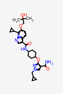 CC(C)(O)COc1ccc2c(C(=O)NC3CCC(Oc4nn(CC5CC5)cc4C(N)=O)CC3)cnn2c1C1CC1